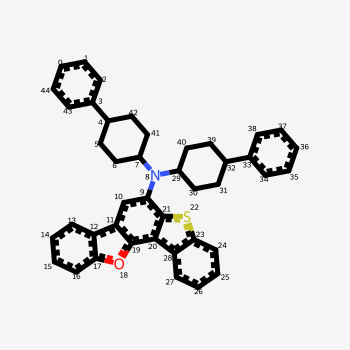 c1ccc(C2CCC(N(c3cc4c5ccccc5oc4c4c3sc3ccccc34)C3CCC(c4ccccc4)CC3)CC2)cc1